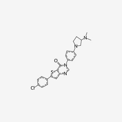 CN(C)C1CCN(c2ccc(-n3cnc4cc(-c5ccc(Cl)cc5)sc4c3=O)cc2)C1